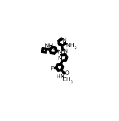 CNC(=O)c1cc(F)cc(-c2ccc3nc(-c4cccnc4N)n(-c4ccc(C5(N)CCC5)cc4)c3n2)c1